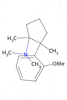 COc1ccccc1C1(C)CCCC1(C)N(C)C